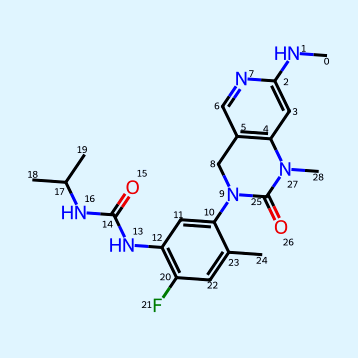 CNc1cc2c(cn1)CN(c1cc(NC(=O)NC(C)C)c(F)cc1C)C(=O)N2C